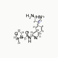 CN/C=C(\CCN)c1ccc2cnc(NC(=O)CN3CCOC[C@@H]3C)cc2c1